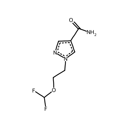 NC(=O)c1cnn(CCOC(F)F)c1